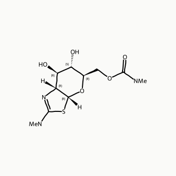 CNC(=O)OC[C@H]1O[C@@H]2SC(NC)=N[C@@H]2[C@@H](O)[C@@H]1O